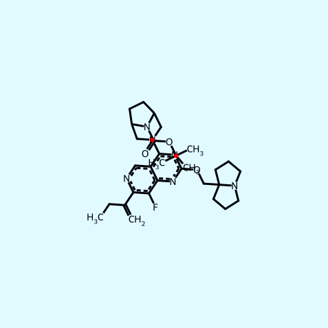 C=C(CC)c1ncc2c(N3CC4CCC(C3)N4C(=O)OC(C)(C)C)nc(OCC34CCCN3CCC4)nc2c1F